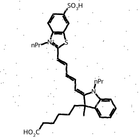 CCCN1\C(=C/C=C/C=C/c2sc3cc(S(=O)(=O)O)ccc3[n+]2CCC)C(C)(CCCCCC(=O)O)c2ccccc21